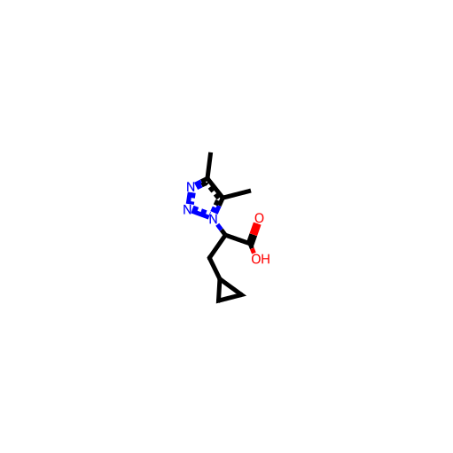 Cc1nnn(C(CC2CC2)C(=O)O)c1C